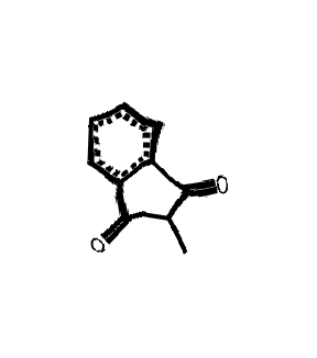 CC1C(=O)c2ccccc2C1=O